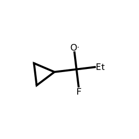 CCC([O])(F)C1CC1